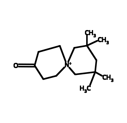 CC1(C)CC(C)(C)C[N+]2(CCC(=O)CC2)C1